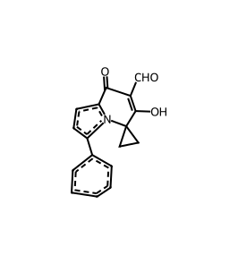 O=CC1=C(O)C2(CC2)n2c(ccc2-c2ccccc2)C1=O